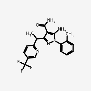 Cc1ccccc1-n1nc(C(C)c2ccc(C(F)(F)F)cn2)c(C(N)=O)c1N